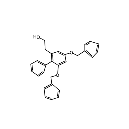 OCCc1cc(OCc2ccccc2)cc(OCc2ccccc2)c1-c1ccccc1